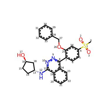 CS(=O)(=O)c1ccc(-c2nnc(N[C@@H]3CC[C@@H](O)C3)c3ccccc23)c(OCc2ccccc2)c1